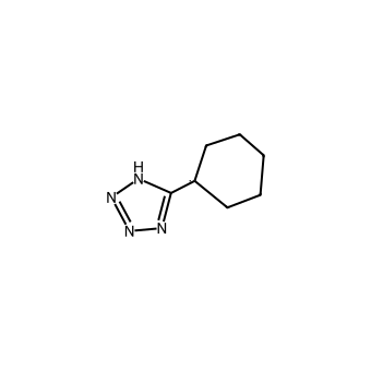 C1CC[C](c2nnn[nH]2)CC1